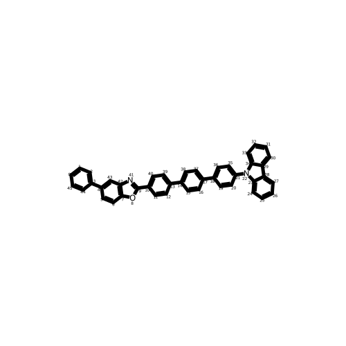 c1ccc(-c2ccc3oc(-c4ccc(-c5ccc(-c6ccc(-n7c8ccccc8c8ccccc87)cc6)cc5)cc4)nc3c2)cc1